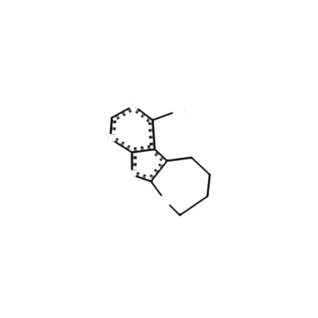 Cc1ncnc2sc3c(c12)CCCCC3